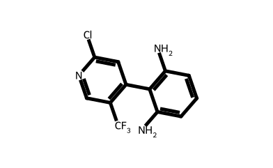 Nc1cccc(N)c1-c1cc(Cl)ncc1C(F)(F)F